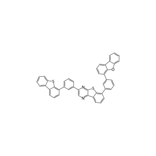 c1cc(-c2cnc3c(n2)sc2c(-c4cccc(-c5cccc6c5oc5ccccc56)c4)cccc23)cc(-c2cccc3c2sc2ccccc23)c1